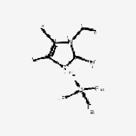 CCN1C(C)=C(C)SC1Br.F[B-](F)(F)F